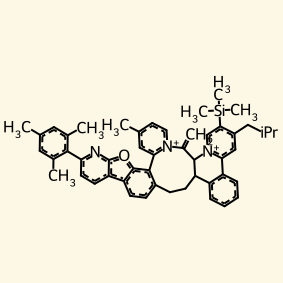 C=C1C2C(CCc3ccc4c(oc5nc(-c6c(C)cc(C)cc6C)ccc54)c3-c3cc(C)cc[n+]31)c1ccccc1-c1cc(CC(C)C)c([Si](C)(C)C)c[n+]12